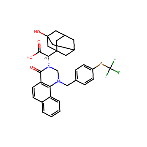 O=C(O)[C@@H](N1CN(Cc2ccc(SC(F)(F)F)cc2)c2c(ccc3ccccc23)C1=O)C12CC3CC(CC(O)(C3)C1)C2